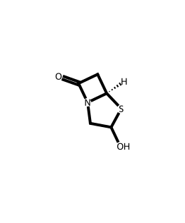 O=C1C[C@H]2SC(O)CN12